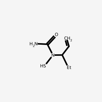 C=CC(CC)N(S)C(N)=O